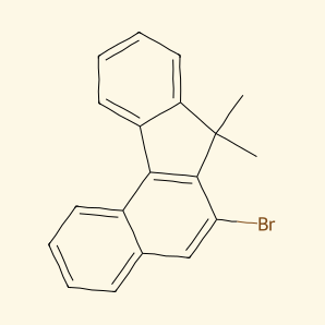 CC1(C)c2ccccc2-c2c1c(Br)cc1ccccc21